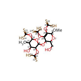 COC1OC(CO)C(OC2OC(OC(=S)S)C(C)C(O)C2OC(=S)S)C(OC(=S)S)=C1OC(=S)S